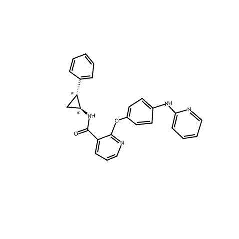 O=C(N[C@H]1C[C@@H]1c1ccccc1)c1cccnc1Oc1ccc(Nc2ccccn2)cc1